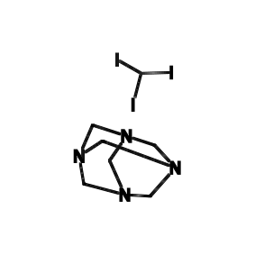 C1N2CN3CN1CN(C2)C3.IC(I)I